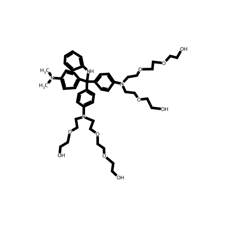 CN(C)c1ccc(C(Nc2ccccc2)(c2ccc(N(CCOCCO)CCOCCOCCO)cc2)c2ccc(N(CCOCCO)CCOCCOCCO)cc2)cc1